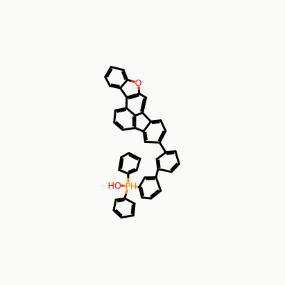 O[PH](c1ccccc1)(c1ccccc1)c1cccc(-c2cccc(-c3ccc4c(c3)-c3cccc5c3c-4cc3oc4ccccc4c35)c2)c1